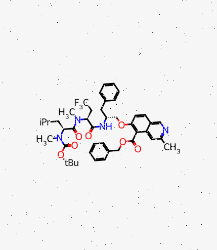 Cc1cc2c(C(=O)OCc3ccccc3)c(OC[C@@H](Cc3ccccc3)NC(=O)[C@H](CC(F)(F)F)N(C)C(=O)[C@H](CC(C)C)N(C)C(=O)OC(C)(C)C)ccc2cn1